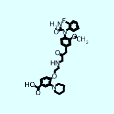 COc1cc(CC(=O)CNCCOc2ccc(C(=O)O)cc2N2CCCCC2)ccc1N(C(N)=O)c1ccccc1F